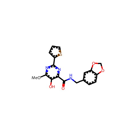 COc1nc(-c2cccs2)nc(C(=O)NCc2ccc3c(c2)OCO3)c1O